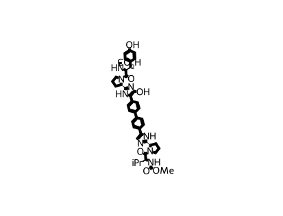 COC(=O)N[C@H](C(=O)N1CCC[C@H]1c1ncc(-c2ccc(-c3ccc(-c4[nH]c([C@@H]5CCCN5C(=O)[C@H](Cc5ccc(O)cc5)NC(=O)O)nc4O)cc3)cc2)[nH]1)C(C)C